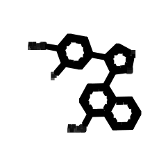 COc1ccc(-c2cnoc2-c2ccc(OC)c3ccccc23)cc1F